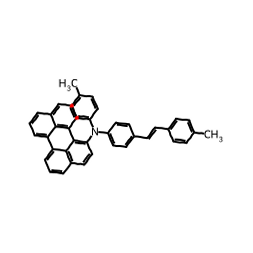 Cc1ccc(C=Cc2ccc(N(c3ccc(C)cc3)c3ccc4cccc5c6cccc7cccc(c3c45)c76)cc2)cc1